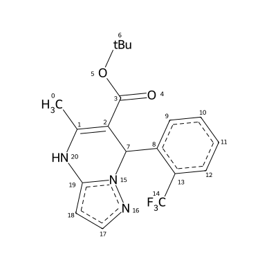 CC1=C(C(=O)OC(C)(C)C)C(c2ccccc2C(F)(F)F)n2nccc2N1